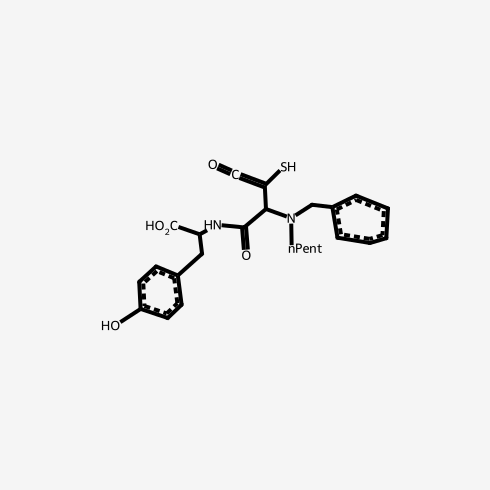 CCCCCN(Cc1ccccc1)C(C(=O)NC(Cc1ccc(O)cc1)C(=O)O)C(S)=C=O